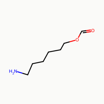 NCCCCCCOC=O